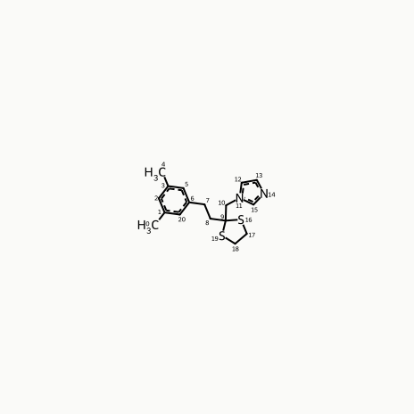 Cc1cc(C)cc(CCC2(Cn3ccnc3)SCCS2)c1